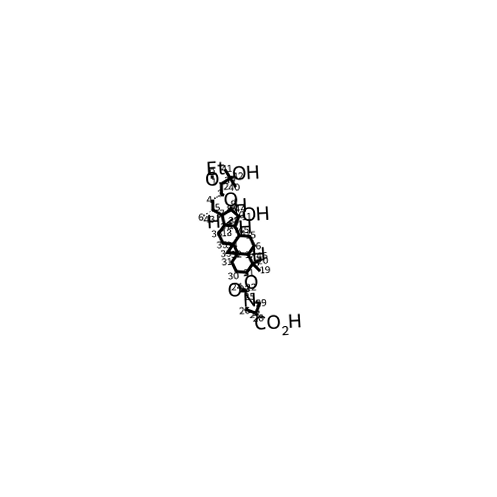 CCO[C@@H]([C@H]1C[C@@H](C)[C@H]2[C@H](O1)[C@H](O)[C@@]1(C)[C@@H]3CC[C@H]4C(C)(C)[C@@H](OC(=O)N5CC(C(=O)O)C5)CCC45CC35CC[C@]21C)C(C)(C)O